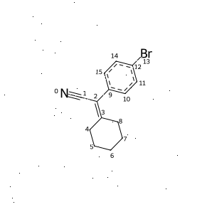 N#CC(=C1CCCCC1)c1ccc(Br)cc1